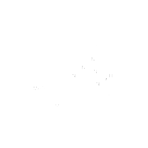 COc1ccc(-c2ccc3c(N4CCOC[C@@H]4C)nc(N4CCOc5ccccc54)nc3n2)cc1CO